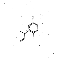 C=C[C](C)c1cc(Cl)ccc1I